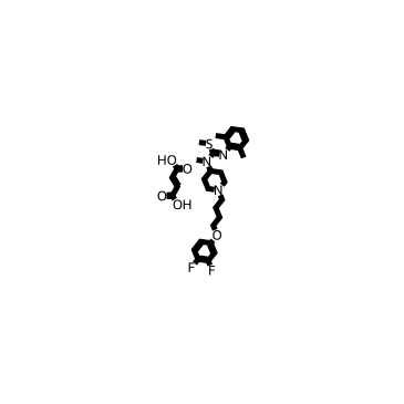 CSC(=Nc1c(C)cccc1C)N(C)C1CCN(CCCCOc2ccc(F)c(F)c2)CC1.O=C(O)C=CC(=O)O